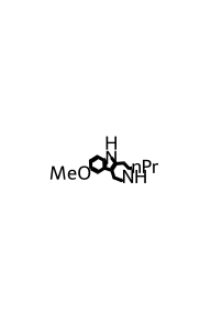 CCCC1Cc2[nH]c3ccc(OC)cc3c2CCN1